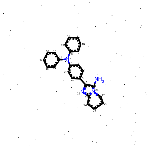 Nc1c(-c2ccc(N(c3ccccc3)c3ccccc3)cc2)nc2ccccn12